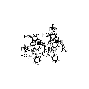 F[B-](F)(F)F.F[B-](F)(F)F.O=C(O)[C@H](Cc1ccccc1)N[C@@H]1CC[C@@]2(O)[C@H]3Cc4ccc(O)c5c4[C@@]2(CCN3CC2CC2)[C@H]1O5.O=C(O)[C@H](Cc1ccccc1)N[C@@H]1CC[C@@]2(O)[C@H]3Cc4ccc(O)c5c4[C@@]2(CCN3CC2CC2)[C@H]1O5